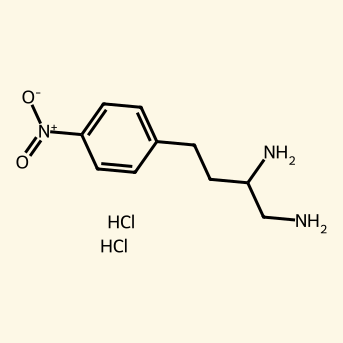 Cl.Cl.NCC(N)CCc1ccc([N+](=O)[O-])cc1